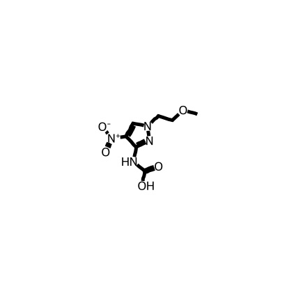 COCCn1cc([N+](=O)[O-])c(NC(=O)O)n1